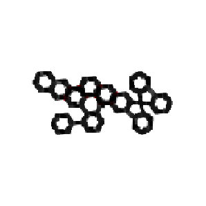 c1ccc(-c2ccccc2-c2c(-c3ccccc3)cccc2N(c2cccc(-c3ccc4ccccc4c3)c2)c2ccc3c(c2)-c2ccccc2C32c3ccccc3-c3ccccc32)cc1